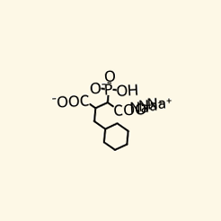 O=C([O-])C(CC1CCCCC1)C(C(=O)[O-])P(=O)([O-])O.[Na+].[Na+].[Na+]